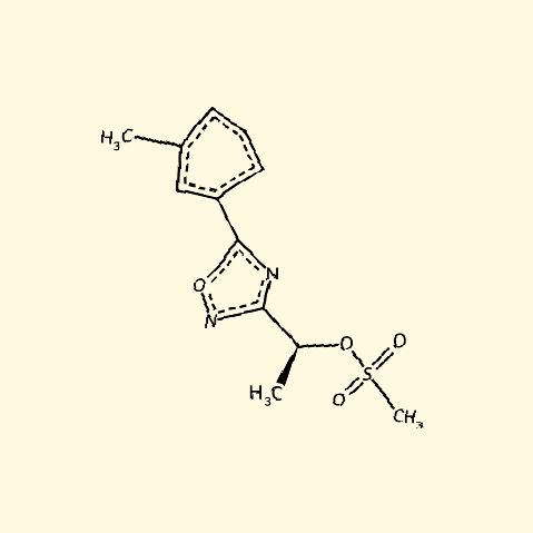 Cc1cccc(-c2nc([C@H](C)OS(C)(=O)=O)no2)c1